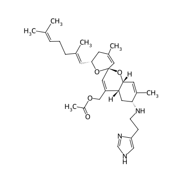 CC(=O)OCC1=C[C@]2(C=C(C)C[C@@H](/C=C(\C)CCC=C(C)C)O2)O[C@@H]2C=C(C)[C@H](NCCc3c[nH]cn3)C[C@H]12